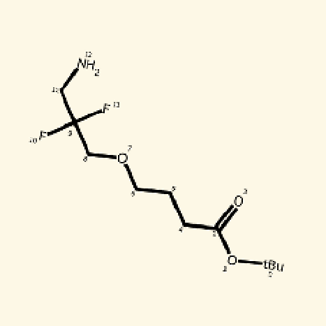 CC(C)(C)OC(=O)CCCOCC(F)(F)CN